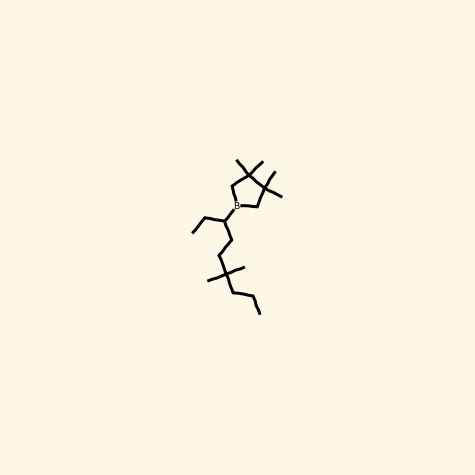 CCCC(C)(C)CCC(CC)B1CC(C)(C)C(C)(C)C1